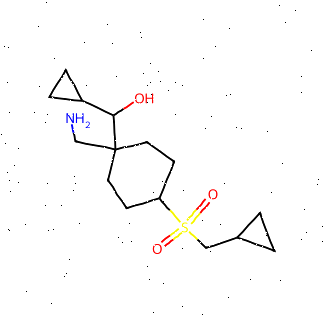 NCC1(C(O)C2CC2)CCC(S(=O)(=O)CC2CC2)CC1